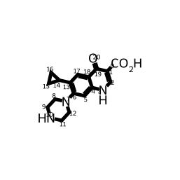 O=C(O)c1c[nH]c2cc(N3CCNCC3)c(C3CC3)cc2c1=O